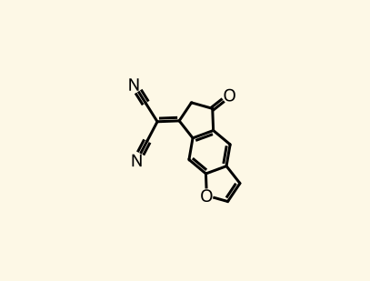 N#CC(C#N)=C1CC(=O)c2cc3ccoc3cc21